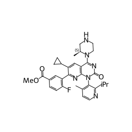 COC(=O)c1ccc(F)c(-c2nc3c(cc2C2CC2)c(N2CCNC[C@@H]2C)nc(=O)n3-c2c(C)ccnc2C(C)C)c1